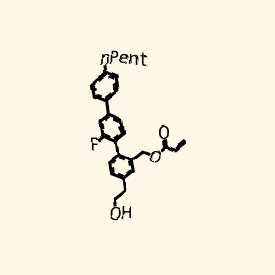 C=CC(=O)OCc1cc(CCO)ccc1-c1ccc(-c2ccc(CCCCC)cc2)cc1F